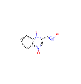 [O-][n+]1cc(/C=N/O)[n+]([O-])c2ccccc21